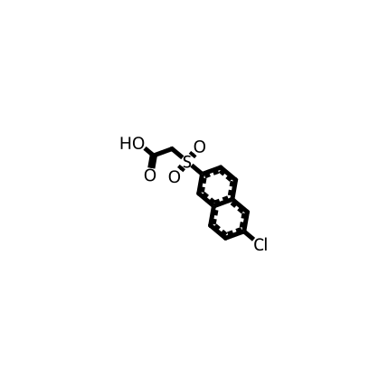 O=C(O)CS(=O)(=O)c1ccc2cc(Cl)ccc2c1